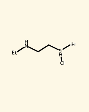 CCNCC[SiH](Cl)C(C)C